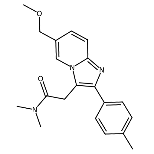 COCc1ccc2nc(-c3ccc(C)cc3)c(CC(=O)N(C)C)n2c1